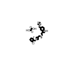 CN(CCc1c[nH]c2ccc(Cn3cncn3)cc12)CC1CN(Cc2c(F)cccc2Cl)C1.O=C(O)C(=O)O